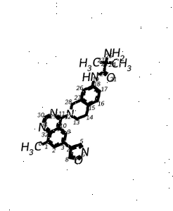 Cc1cc(-c2cnoc2)cc2c(N3CCc4ccc(NC(=O)C(C)(C)N)cc4C3)ncnc12